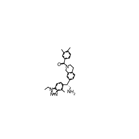 CCn1nnc2c(C)c([C@@H](CN)c3ccc4c(c3)CN(C(=O)c3ccc(C)c(C)c3)CC4)ccc21